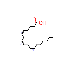 CCCCCC/C=C\C/C=C\C/C=C\CCCC(=O)O